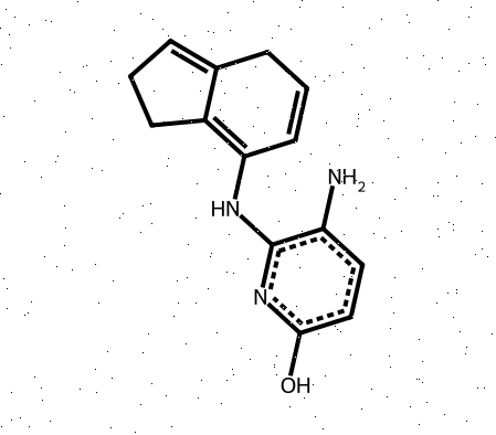 Nc1ccc(O)nc1NC1=C2CCC=C2CC=C1